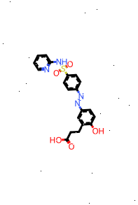 O=C(O)CCc1cc(/N=N/c2ccc(S(=O)(=O)Nc3ccccn3)cc2)ccc1O